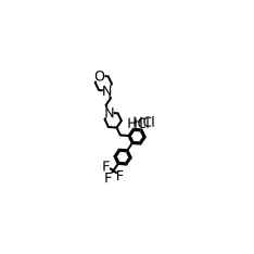 Cl.Cl.FC(F)(F)c1ccc(-c2ccccc2CC2CCN(CCN3CCOCC3)CC2)cc1